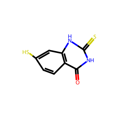 O=c1[nH]c(=S)[nH]c2cc(S)ccc12